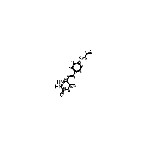 C=CCSc1ccc(/C=C/C2NNC(=O)CC2C)cc1